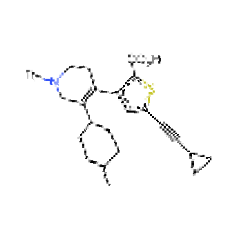 CCN1CCC(c2cc(C#CC3CC3)sc2C(=O)O)=C(C2CCC(C)CC2)C1